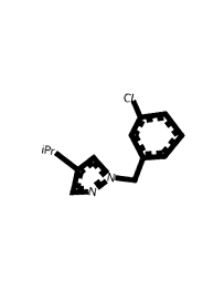 CC(C)c1cnn(Cc2cccc(Cl)c2)c1